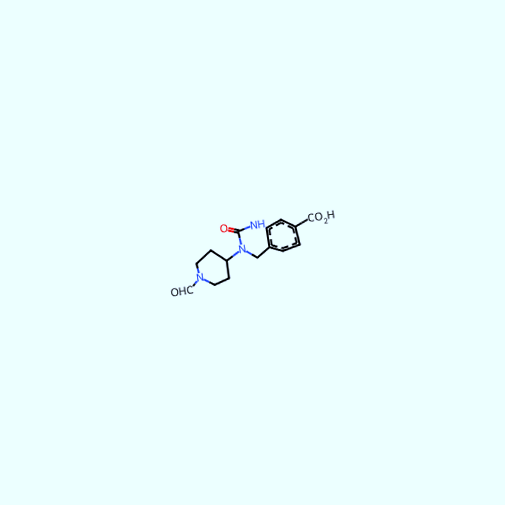 O=CN1CCC(N2Cc3ccc(C(=O)O)cc3NC2=O)CC1